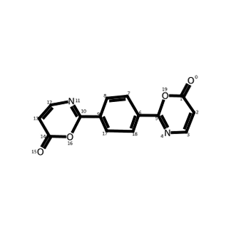 O=c1ccnc(-c2ccc(-c3nccc(=O)o3)cc2)o1